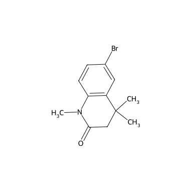 CN1C(=O)CC(C)(C)c2cc(Br)ccc21